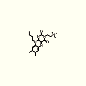 CCCCn1c2nc(=O)n(CC[N+](C)(C)C)c(=O)c-2nc2c1=CC(C)C(C)C=2